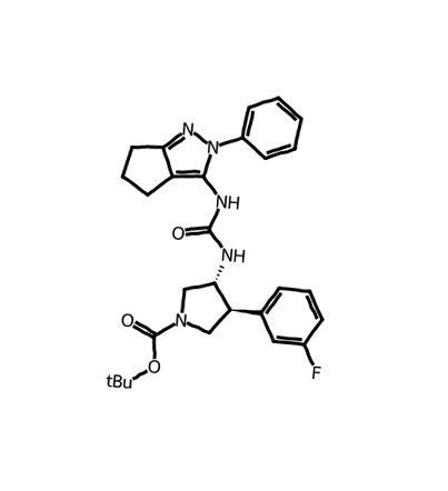 CC(C)(C)OC(=O)N1C[C@H](NC(=O)Nc2c3c(nn2-c2ccccc2)CCC3)[C@@H](c2cccc(F)c2)C1